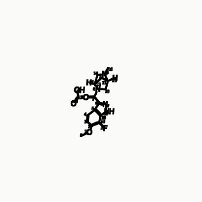 COc1ccc2c(C(=O)N3C[C@@H]4C[C@H]3CN4C)n[nH]c2c1F.O=CO